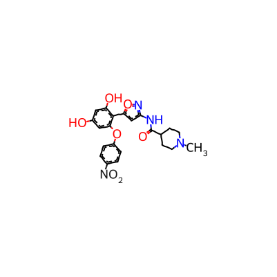 CN1CCC(C(=O)Nc2cc(-c3c(O)cc(O)cc3Oc3ccc([N+](=O)[O-])cc3)on2)CC1